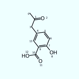 CC(=O)Cc1ccc(O)c(C(=O)O)c1